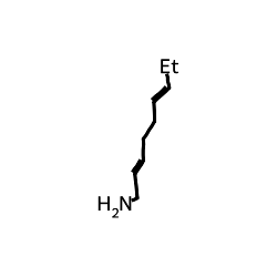 CCC=CCCC=CCN